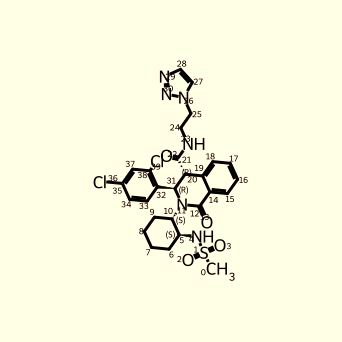 CS(=O)(=O)N[C@H]1CCCC[C@@H]1N1C(=O)c2ccccc2[C@@H](C(=O)NCCn2ccnn2)[C@@H]1c1ccc(Cl)cc1Cl